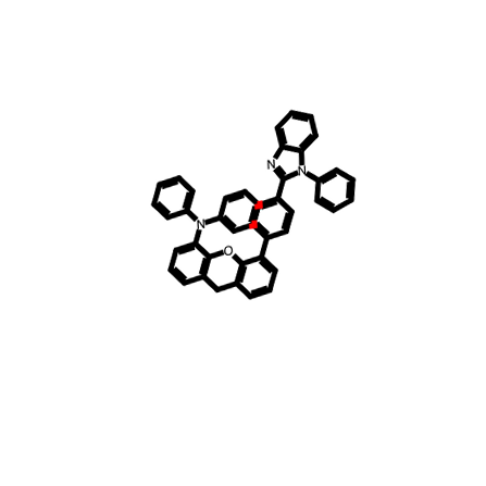 c1ccc(N(c2ccccc2)c2cccc3c2Oc2c(cccc2-c2ccc(-c4nc5ccccc5n4-c4ccccc4)cc2)C3)cc1